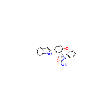 NC1=N[C@]2(CO1)c1ccccc1Oc1ccc(-c3cc4ccccc4[nH]3)cc12